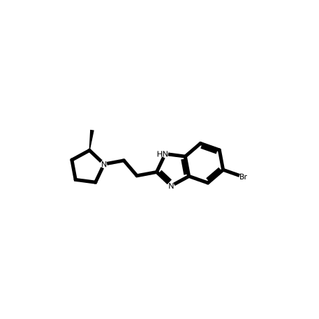 C[C@@H]1CCCN1CCc1nc2cc(Br)ccc2[nH]1